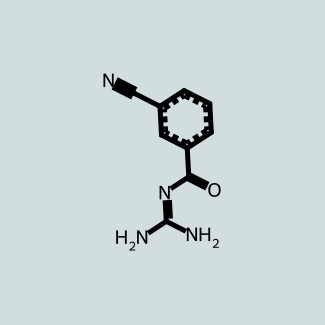 N#Cc1cccc(C(=O)N=C(N)N)c1